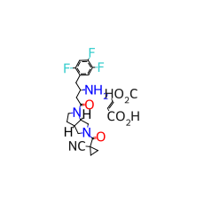 N#CC1(C(=O)N2C[C@@H]3CCN(C(=O)C[C@H](N)Cc4cc(F)c(F)cc4F)[C@@H]3C2)CC1.O=C(O)C=CC(=O)O